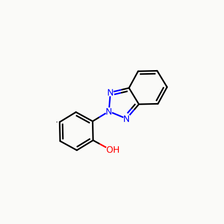 Oc1cc[c]cc1-n1nc2ccccc2n1